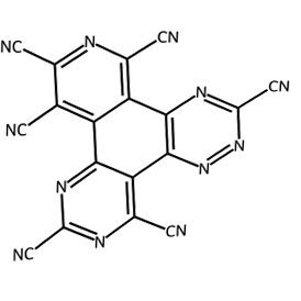 N#Cc1nnc2c(n1)c1c(C#N)nc(C#N)c(C#N)c1c1nc(C#N)nc(C#N)c21